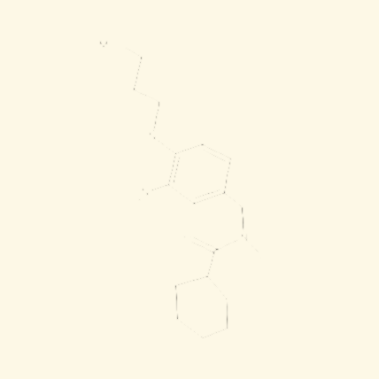 COCCCNc1ccc(CN(C)C(=O)C2CCCCC2)cc1[N+](=O)[O-]